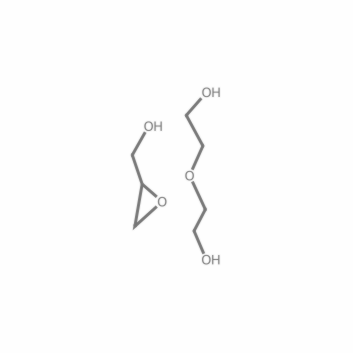 OCC1CO1.OCCOCCO